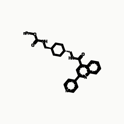 CCCOC(=O)NC[C@H]1CC[C@H](CNC(=O)c2cc(-c3ccncc3)nc3ccccc23)CC1